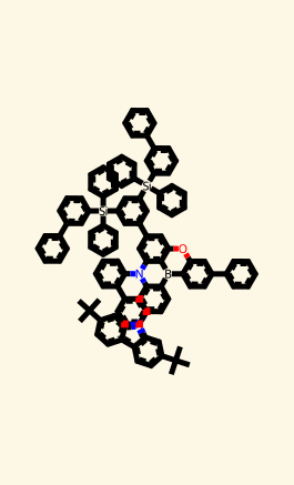 CC(C)(C)c1ccc2c3ccc(C(C)(C)C)cc3n(-c3ccc4c(c3)N(c3ccccc3-c3ccccc3)c3cc(-c5cc([Si](c6ccccc6)(c6ccccc6)c6cccc(-c7ccccc7)c6)cc([Si](c6ccccc6)(c6ccccc6)c6cccc(-c7ccccc7)c6)c5)cc5c3B4c3ccc(-c4ccccc4)cc3O5)c2c1